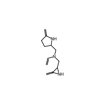 C=CN(CC1CCC(=C)N1)CC1NC1=C